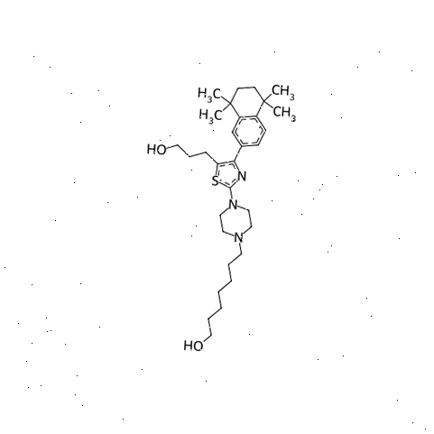 CC1(C)CCC(C)(C)c2cc(-c3nc(N4CCN(CCCCCCCO)CC4)sc3CCCO)ccc21